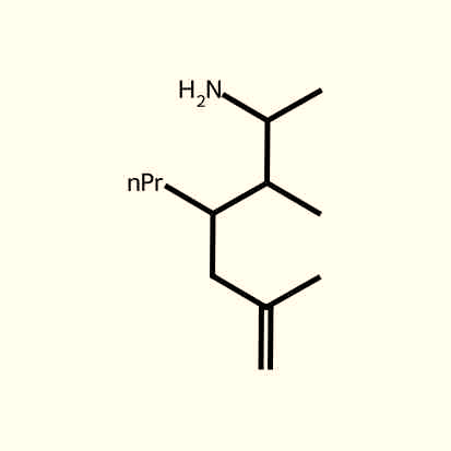 C=C(C)CC(CCC)C(C)C(C)N